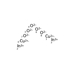 [Cu+2].[Cu+2].[In+3].[In+3].[O-2].[O-2].[O-2].[O-2].[O-2]